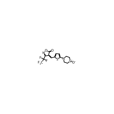 O=C1ON=C(C(F)(F)C(F)(F)F)/C1=C/c1ccc(N2CC[S+]([O-])CC2)s1